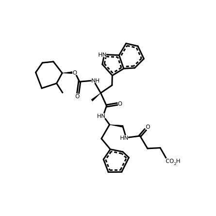 CC1CCCC[C@H]1OC(=O)N[C@](C)(Cc1c[nH]c2ccccc12)C(=O)N[C@@H](CNC(=O)CCC(=O)O)Cc1ccccc1